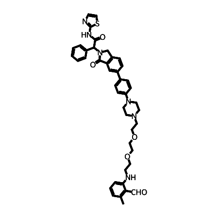 Cc1cccc(NCCOCCOCCN2CCN(c3ccc(-c4ccc5c(c4)C(=O)N(C(C(=O)Nc4nccs4)c4ccccc4)C5)cc3)CC2)c1C=O